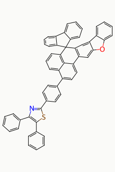 c1ccc(-c2nc(-c3ccc(-c4ccc5c6c(cccc46)C4(c6ccccc6-c6ccccc64)c4cc6c(cc4-5)oc4ccccc46)cc3)sc2-c2ccccc2)cc1